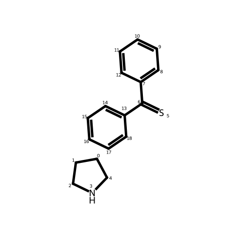 C1CCNC1.S=C(c1ccccc1)c1ccccc1